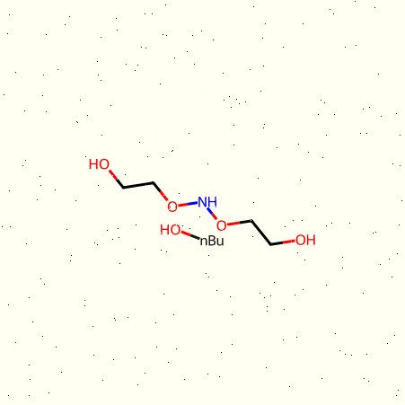 CCCCO.OCCONOCCO